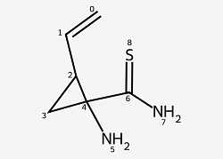 C=CC1CC1(N)C(N)=S